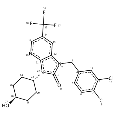 O=c1n(Cc2ccc(Cl)c(Cl)c2)c2cc(C(F)(F)F)cnc2n1[C@H]1CC[C@H](O)CC1